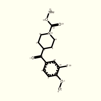 CCOc1ccc(C(=O)C2CCN(C(=O)OC(C)(C)C)CC2)cc1F